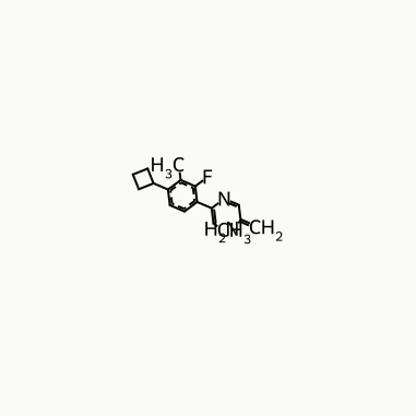 C=C(N)/C=N\C(=C/C)c1ccc(C2CCC2)c(C)c1F